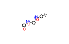 COc1cccc(-c2nnc(-c3cccc(-c4nnc(-c5ccc(C(C)(C)C)cc5)o4)c3)o2)c1